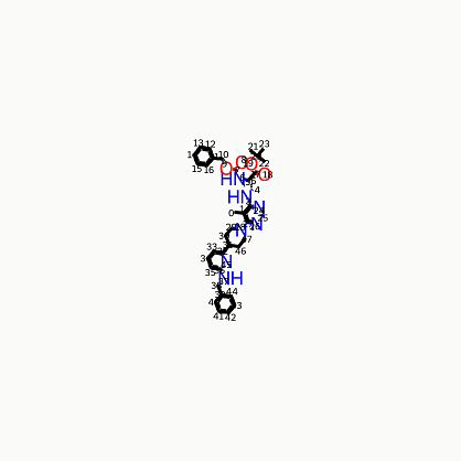 Cc1c(NC[C@H](NC(=O)OCc2ccccc2)C(=O)OC(C)(C)C)ncnc1N1CCC(c2cccc(NCc3ccccc3)n2)CC1